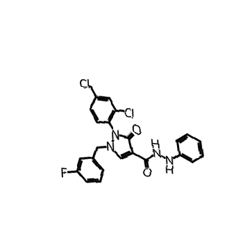 O=C(NNc1ccccc1)c1cn(Cc2cccc(F)c2)n(-c2ccc(Cl)cc2Cl)c1=O